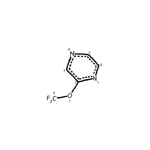 FC(F)(F)Oc1cn[c]cn1